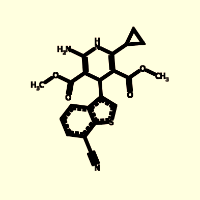 COC(=O)C1=C(N)NC(C2CC2)=C(C(=O)OC)C1c1csc2c(C#N)cccc12